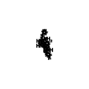 CC(C)C[C@H](NC(=O)CP(=O)(O)C(Cc1ccccc1)NC(=O)c1ccc(F)cc1)C(=O)N[C@@H](CC=Cc1ccccc1)C(N)=O